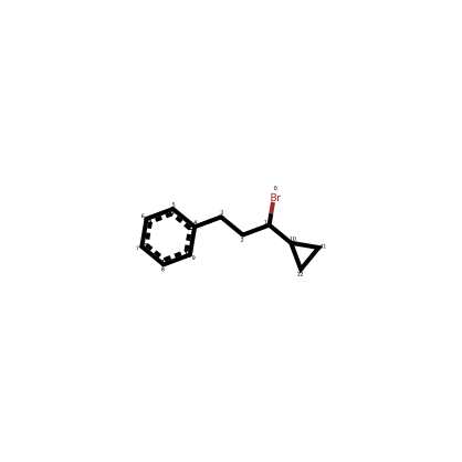 BrC(CCc1ccccc1)C1CC1